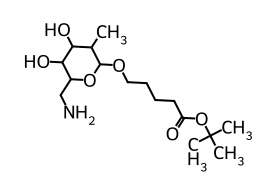 CC1C(OCCCCC(=O)OC(C)(C)C)OC(CN)C(O)C1O